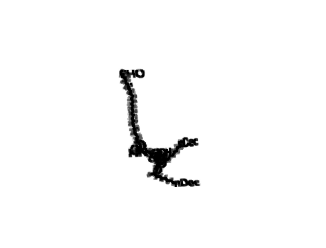 C=C(CCCCCCCCCCCCCCCCC)OCC(COP(=O)(O)OCCNC(=O)OCCCCCCCCCCCCCCCCCCCCCCCC=O)OC(=O)CCCCCCCCCCCCCCCCC